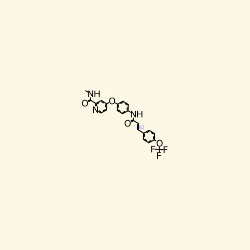 CNC(=O)c1cc(Oc2ccc(NC(=O)/C=C/c3ccc(OC(F)(F)F)cc3)cc2)ccn1